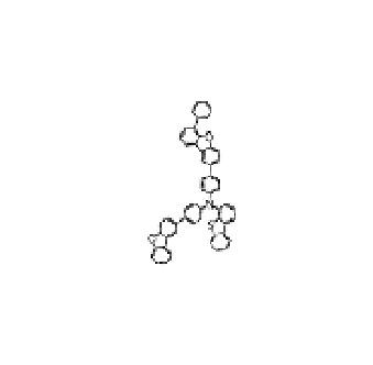 c1ccc(-c2cccc3c2oc2ccc(-c4ccc(N(c5ccc(-c6ccc7oc8ccccc8c7c6)cc5)c5cccc6c5sc5ccccc56)cc4)cc23)cc1